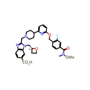 CON(C)C(=O)c1ccc(COc2cccc(C3CCN(Cc4nc5ccc(C(=O)O)cc5n4C[C@@H]4CCO4)CC3)n2)c(F)c1